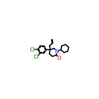 C=CCC1(c2ccc(Cl)c(Cl)c2)CCC(=O)N(C2CCCCC2)C1